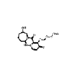 O=COOCOc1c2n(ccc1=O)NC1CCCC(O)CN1C2=O